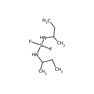 CCC(C)N[Si](F)(F)NC(C)CC